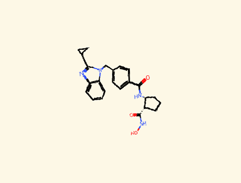 O=C(N[C@@H]1CCC[C@@H]1C(=O)NO)c1ccc(Cn2c(C3CC3)nc3ccccc32)cc1